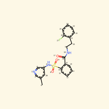 Cc1cncc(NS(=O)(=O)c2ccccc2C(=O)NCCc2ccccc2F)c1